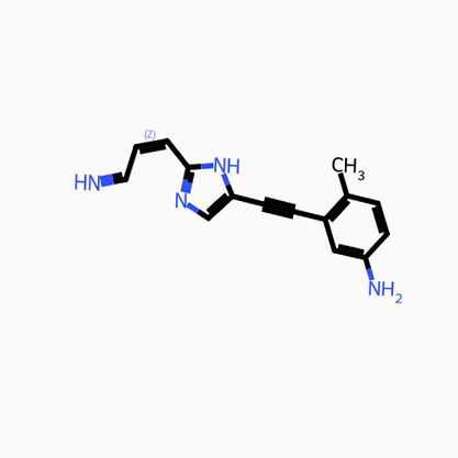 Cc1ccc(N)cc1C#Cc1cnc(/C=C\C=N)[nH]1